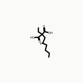 CCCCC(F)CC(CC)(C(=O)O)C(=O)O